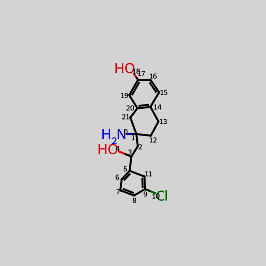 NC1(CC(O)c2cccc(Cl)c2)CCc2ccc(O)cc2C1